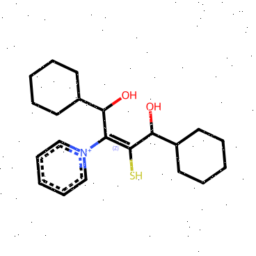 OC(/C(S)=C(\C(O)C1CCCCC1)[n+]1ccccc1)C1CCCCC1